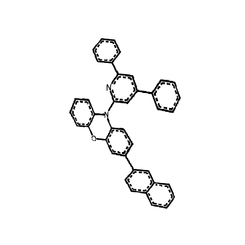 c1ccc(-c2cc(-c3ccccc3)nc(N3c4ccccc4Oc4cc(-c5ccc6ccccc6c5)ccc43)c2)cc1